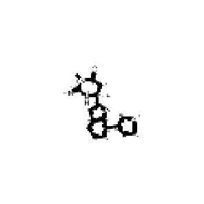 CN1C(=N)N[C@](C)(c2cc3cccc(-c4cccnc4)c3s2)CC1=O